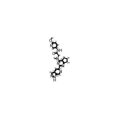 COc1ccc(NC(=O)CN(C)c2nc(-c3cc4cn[nH]c4cn3)nc3c2CCC3)cn1